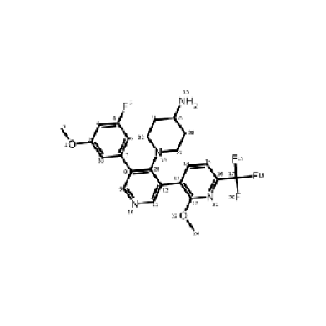 COc1cc(F)cc(-c2cncc(-c3ccc(C(F)(F)F)nc3OC)c2N2CCC(N)CC2)c1